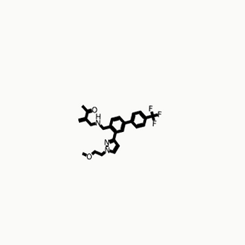 C=C(CNCc1ccc(-c2ccc(C(F)(F)F)cc2)cc1-c1ccn(CCOC)n1)C(C)=O